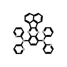 c1ccc(N(c2ccccn2)c2ccc(N(c3ccccn3)c3ccccn3)c3nc4c(nc23)-c2cccc3cccc-4c23)nc1